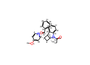 COc1ccnc([C@H]2C[C@]3(C)N(C(C)=O)c4ccccc4[C@]23C(=O)c2ccccc2)c1